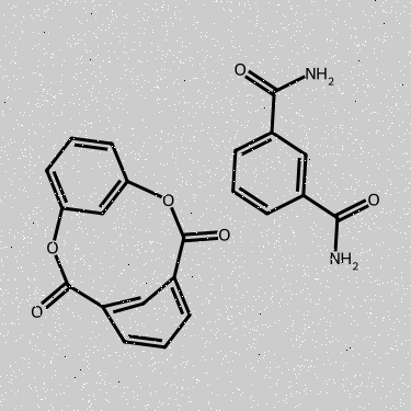 NC(=O)c1cccc(C(N)=O)c1.O=c1oc2cccc(c2)oc(=O)c2cccc1c2